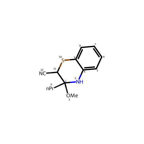 CCCC1(OC)Nc2ccccc2SC1C#N